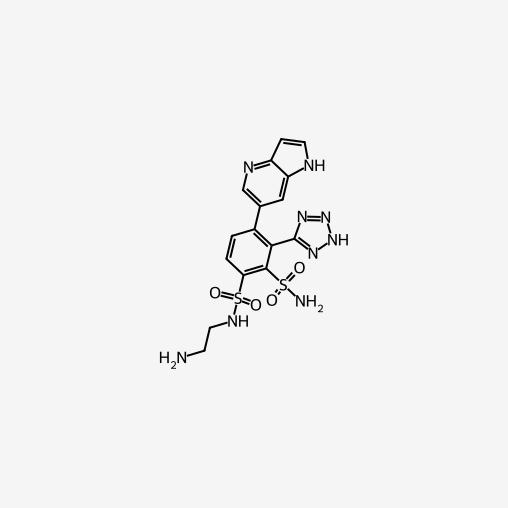 NCCNS(=O)(=O)c1ccc(-c2cnc3cc[nH]c3c2)c(-c2nn[nH]n2)c1S(N)(=O)=O